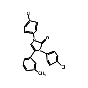 Cc1cccc(-c2cn(-c3ccc(Cl)cc3)c(=O)n2-c2ccc(Cl)cc2)c1